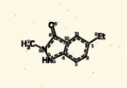 CCc1ccc2[nH]n(C)c(=O)c2c1